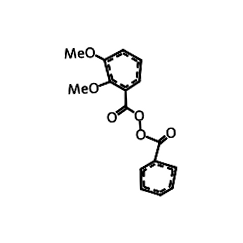 COc1cccc(C(=O)OOC(=O)c2ccccc2)c1OC